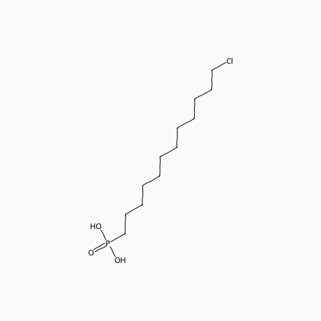 O=P(O)(O)CCCCCCCCCCCCCl